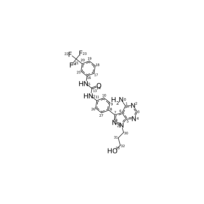 Nc1ncnc2c1c(-c1ccc(NC(=O)Nc3cccc(C(F)(F)F)c3)cc1)nn2CCCO